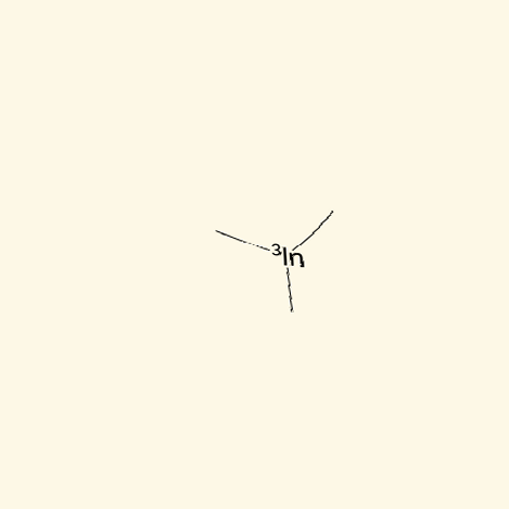 [CH3][3In]([CH3])[CH3]